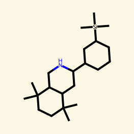 CC1(C)CCC(C)(C)C2CC(C3CCCC([Si](C)(C)C)C3)NCC21